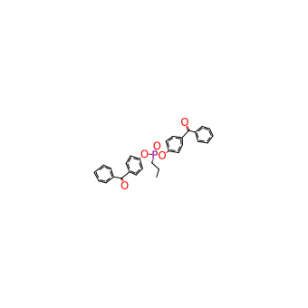 CCCP(=O)(Oc1ccc(C(=O)c2ccccc2)cc1)Oc1ccc(C(=O)c2ccccc2)cc1